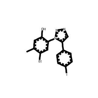 CCc1cc(-n2nncc2-c2ccc(I)cc2)c(O)cc1C